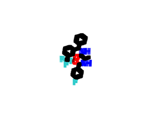 CC(NC(=O)c1ccc(F)cc1)C(=O)N[C@@H](c1ccccc1)c1cccc(C(F)(F)F)c1